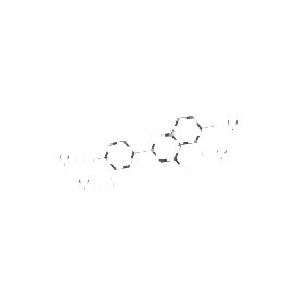 COc1ccc(-c2cc(=O)c3c(OC)c(OC)ccc3o2)cc1OC